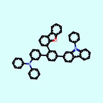 c1ccc(N(c2ccccc2)c2cccc(-c3ccc(-c4ccc5c6ccccc6n(-c6ccccc6)c5c4)cc3-c3cccc4c3oc3ccccc34)c2)cc1